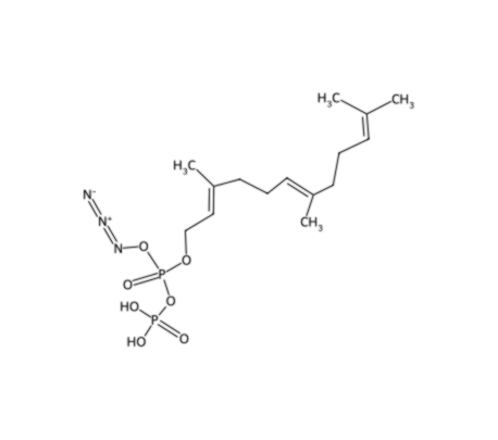 CC(C)=CCCC(C)=CCCC(C)=CCOP(=O)(ON=[N+]=[N-])OP(=O)(O)O